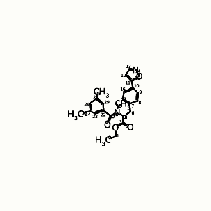 CCOC(=O)[C@H](Cc1ccc(-c2ccno2)cc1)N(C)C(=O)c1cc(C)cc(C)c1